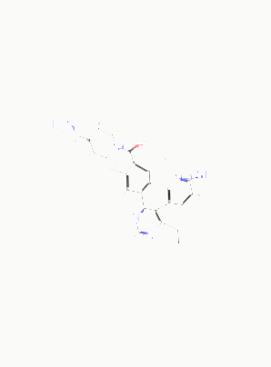 CCc1ncnc(-c2cc(F)c(C(=O)N3CCC(CN)CC3)c(Cl)c2)c1-c1ccc(N)nc1